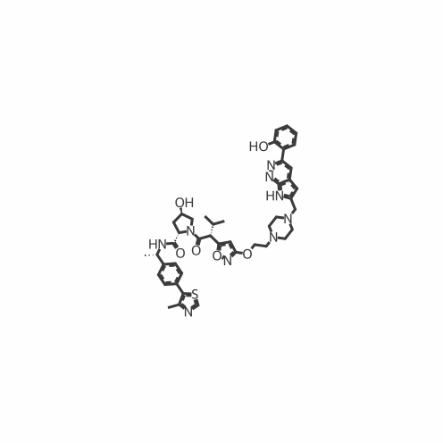 Cc1ncsc1-c1ccc([C@H](C)NC(=O)[C@@H]2C[C@@H](O)CN2C(=O)[C@@H](c2cc(OCCN3CCN(Cc4cc5cc(-c6ccccc6O)nnc5[nH]4)CC3)no2)C(C)C)cc1